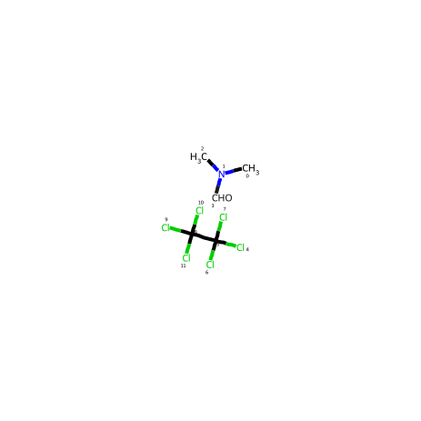 CN(C)C=O.ClC(Cl)(Cl)C(Cl)(Cl)Cl